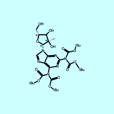 CC(C)(C)OC(=O)N(C(=O)OC(C)(C)C)c1nc(N(C(=O)OC(C)(C)C)C(=O)OC(C)(C)C)c2ncn([C@@H]3O[C@H](CO)C(O)[C@@]3(C)O)c2n1